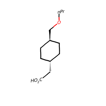 CCCOC[C@H]1CC[C@H](CC(=O)O)CC1